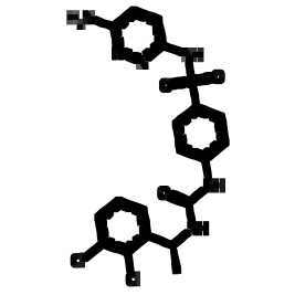 C[C@H](NC(=O)Nc1ccc(S(=O)(=O)Nc2ccc(N)nn2)cc1)c1cccc(Cl)c1Cl